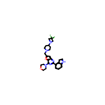 FC1(F)CN(C2CCN(Cc3cc4nc(-c5cccc6[nH]ccc56)nc(N5CCOCC5)c4o3)CC2)C1